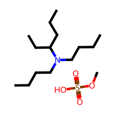 CCCCN(CCCC)C(CC)CCC.COS(=O)(=O)O